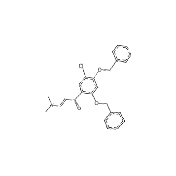 CN(C)/C=C/C(=O)c1cc(Cl)c(OCc2ccccc2)cc1OCc1ccccc1